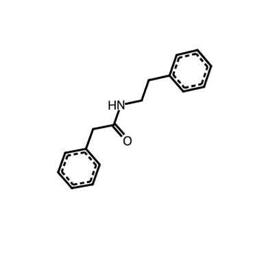 O=C(Cc1ccccc1)NCCc1ccccc1